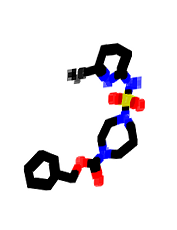 Cc1cccc(NS(=O)(=O)N2CCCN(C(=O)OCc3ccccc3)CC2)n1